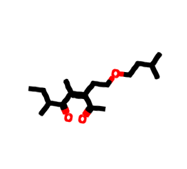 CCC(C)C(=O)/C(C)=C(/CCOCCC(C)C)C(C)=O